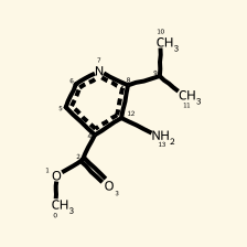 COC(=O)c1ccnc(C(C)C)c1N